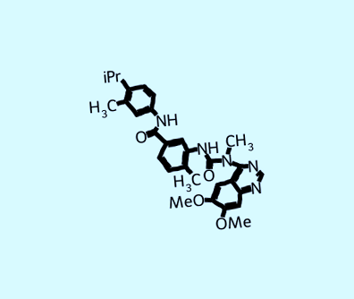 COc1cc2ncnc(N(C)C(=O)Nc3cc(C(=O)Nc4ccc(C(C)C)c(C)c4)ccc3C)c2cc1OC